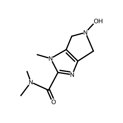 CN(C)C(=O)c1nc2c(n1C)CN(O)C2